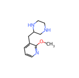 COc1ncccc1CC1CNCCN1